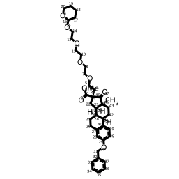 COC(=O)[C@@]1(CCOCCOCCOCCOC2CCCCO2)C[C@H]2[C@@H]3CCc4cc(OCc5ccccc5)ccc4[C@H]3CC[C@]2(C)C1=O